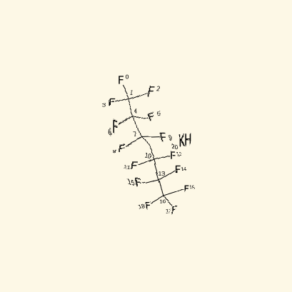 FC(F)(F)C(F)(F)C(F)(F)C(F)(F)C(F)(F)C(F)(F)F.[KH]